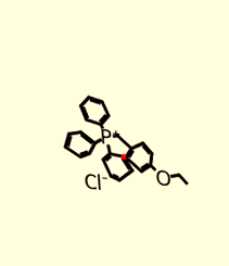 CCOc1ccc(C[P+](c2ccccc2)(c2ccccc2)c2ccccc2)cc1.[Cl-]